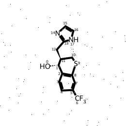 O[C@H]1c2ccc(C(F)(F)F)cc2SC[C@@H]1Cc1ncc[nH]1